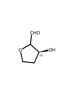 O=CC1OCC[C@@H]1O